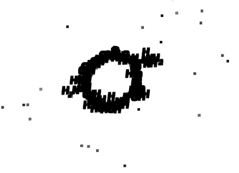 CC(C)C[C@@H]1NC(=O)[C@H](CO)NC(=O)[C@H](CO)NC(=O)[C@H](CS)NC(=O)[C@H](C(C)C)NC(=O)[C@H](CCCCN)NC(=O)[C@H](CCO)NC(=O)[C@H](CCC(=O)O)NC(=O)[C@H](CO)NC(=O)[C@H](CO)NC(=O)[C@H](Cc2ccccc2)NC(=O)CNC(=O)CNC(=O)[C@H](CCCCNC(=N)N)NC(=O)CNC(=O)[C@@H]2CCCN2C(=O)[C@H](CCC(=O)O)NC(=O)[C@H](CC(=O)O)NC1=O